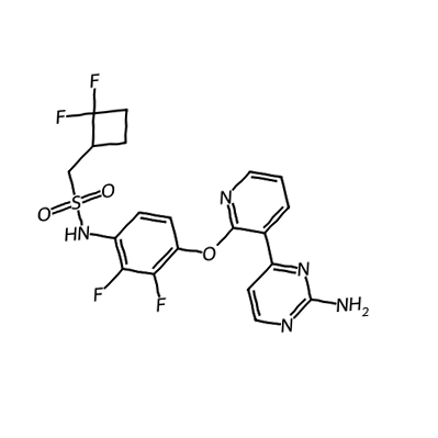 Nc1nccc(-c2cccnc2Oc2ccc(NS(=O)(=O)CC3CCC3(F)F)c(F)c2F)n1